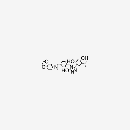 CC(C)c1cc(-c2nnc(O)n2Cc2ccc(CN(C)c3ccc4c(c3)OCCO4)cc2)c(O)cc1O